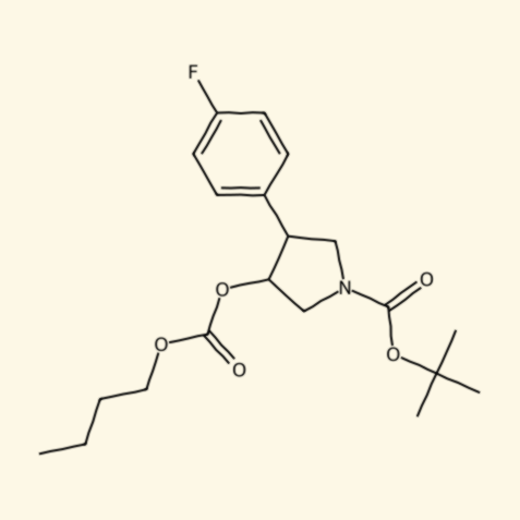 CCCCOC(=O)OC1CN(C(=O)OC(C)(C)C)CC1c1ccc(F)cc1